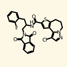 O=C(NC(Cc1ccccc1F)CN1C(=O)c2ccccc2C1=O)c1cc2c(s1)CCCn1ncc(Cl)c1-2